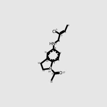 CC=C(Cl)CNc1ccc2c(c1)CCN2C(C)=O